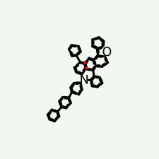 c1ccc(-c2ccc(-c3ccc(N(c4ccc(-c5ccccc5)cc4)c4ccccc4-c4cccc5c4ccc4oc6ccccc6c45)cc3)cc2)cc1